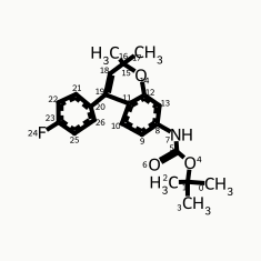 CC(C)(C)OC(=O)Nc1ccc2c(c1)OC(C)(C)C=C2c1ccc(F)cc1